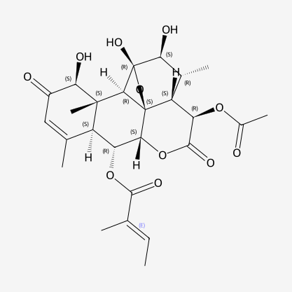 C/C=C(\C)C(=O)O[C@@H]1[C@H]2C(C)=CC(=O)[C@@H](O)[C@]2(C)[C@H]2[C@@]3(O)OC[C@]24[C@H]([C@@H](C)[C@@H]3O)[C@@H](OC(C)=O)C(=O)O[C@H]14